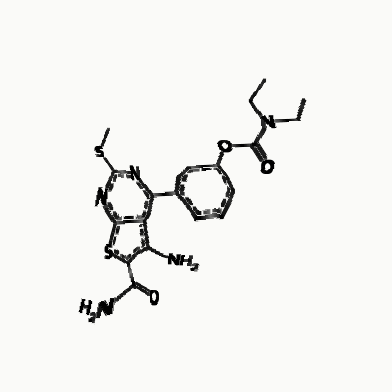 CCN(CC)C(=O)Oc1cccc(-c2nc(SC)nc3sc(C(N)=O)c(N)c23)c1